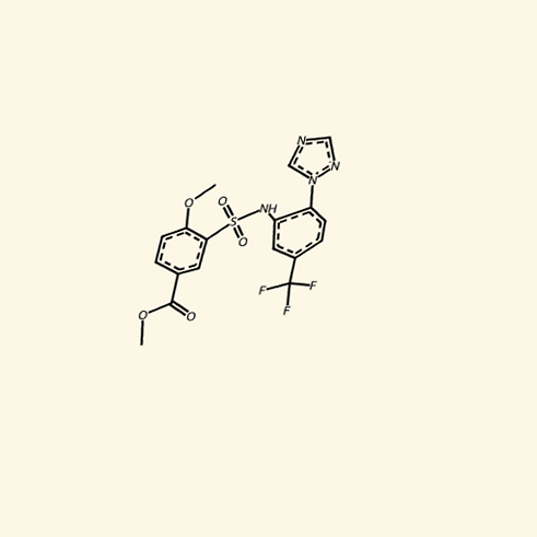 COC(=O)c1ccc(OC)c(S(=O)(=O)Nc2cc(C(F)(F)F)ccc2-n2cncn2)c1